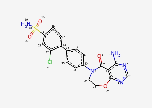 Nc1ncnc2c1C(=O)N(c1ccc(-c3ccc(S(N)(=O)=O)cc3Cl)cc1)CCO2